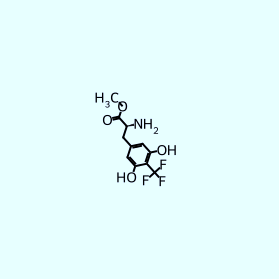 COC(=O)[C@@H](N)Cc1cc(O)c(C(F)(F)F)c(O)c1